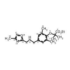 CCOC(=O)C(C)(C)Oc1c(C)cc(CNCc2nc(C)no2)cc1C